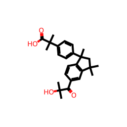 CC(C)(O)C(=O)c1ccc2c(c1)C(C)(C)CC2(C)c1ccc(C(C)(C)C(=O)O)cc1